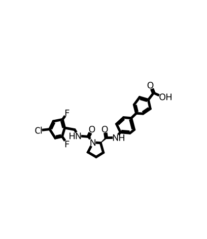 O=C(O)c1ccc(-c2ccc(NC(=O)[C@H]3CCCN3C(=O)NCc3c(F)cc(Cl)cc3F)cc2)cc1